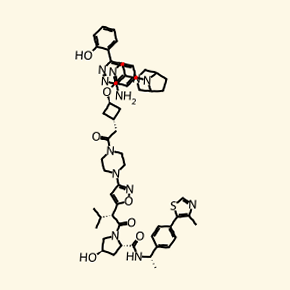 Cc1ncsc1-c1ccc([C@H](C)NC(=O)[C@@H]2C[C@@H](O)CN2C(=O)[C@@H](c2cc(N3CCN(C(=O)C[C@H]4C[C@H](Oc5cc(N6C7CCC6CN(c6cc(-c8ccccc8O)nnc6N)C7)ccn5)C4)CC3)no2)C(C)C)cc1